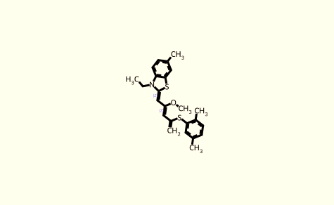 C=C(/C=C(/C=C1\Sc2cc(C)ccc2N1CC)OC)Sc1cc(C)ccc1C